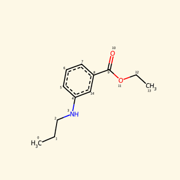 CCCNc1cccc(C(=O)OCC)c1